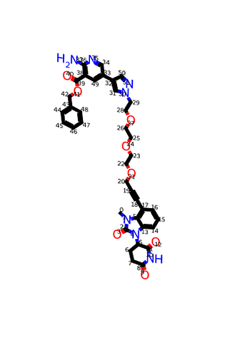 Cn1c(=O)n(C2CCC(=O)NC2=O)c2cccc(C#CCOCCOCCOCCn3cc(-c4cnc(N)c(C(=O)OCc5ccccc5)c4)cn3)c21